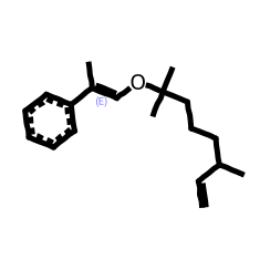 C=CC(C)CCCC(C)(C)O/C=C(\C)c1ccccc1